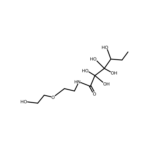 CCC(O)C(O)(O)C(O)(O)C(=O)NCCOCCO